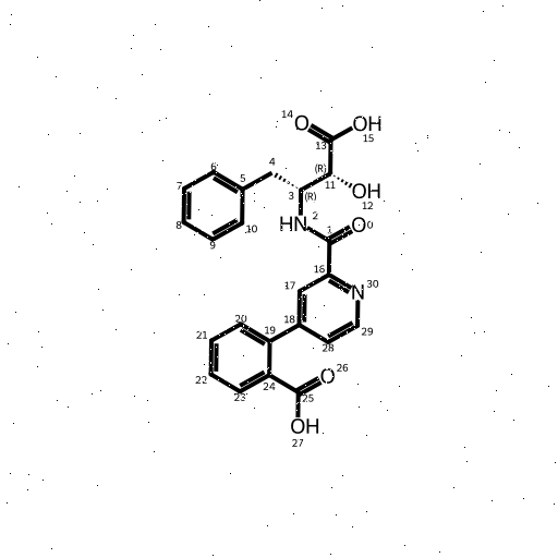 O=C(N[C@H](Cc1ccccc1)[C@@H](O)C(=O)O)c1cc(-c2ccccc2C(=O)O)ccn1